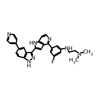 CN(C)CCNc1cc(F)cc(-c2nccc3[nH]c(-c4n[nH]c5ccc(-c6ccncc6)cc45)cc23)c1